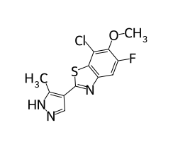 COc1c(F)cc2nc(-c3cn[nH]c3C)sc2c1Cl